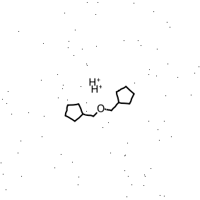 C1CCC(COCC2CCCC2)C1.[H+].[H+]